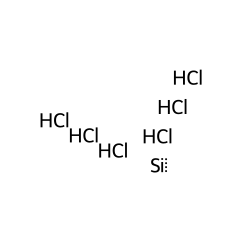 Cl.Cl.Cl.Cl.Cl.Cl.[Si]